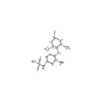 CCS(=O)(=O)Nc1ccc(Oc2c(C)cc(F)cc2C)c(C(C)(C)C)c1